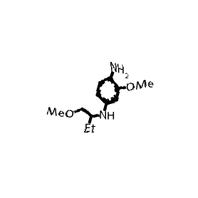 CCC(COC)Nc1ccc(N)c(OC)c1